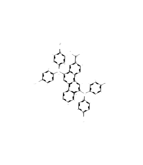 Fc1ccc(N(c2ccc(F)cc2)c2cc3c4ccc(C(F)F)cc4c(N(c4ccc(F)cc4)c4ccc(F)cc4)cc3c3ccccc23)cc1